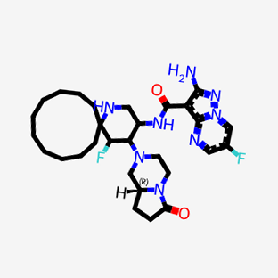 Nc1nn2cc(F)cnc2c1C(=O)NC1CNC2(CCCCCCCCCC2)C(F)C1N1CCN2C(=O)CC[C@@H]2C1